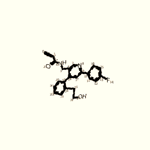 C=CC(=O)NCc1cnc(-c2ccc(F)cc2)cc1-c1ccccc1CCO